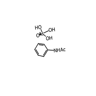 CC(=O)Nc1ccccc1.O=[As](O)(O)O